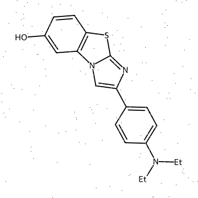 CCN(CC)c1ccc(-c2cn3c(n2)sc2ccc(O)cc23)cc1